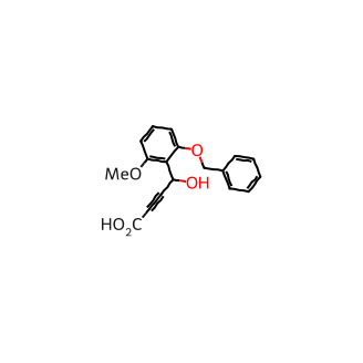 COc1cccc(OCc2ccccc2)c1C(O)C#CC(=O)O